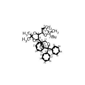 C=CC(O[Si](C)(C)C(C)(C)C)C1OC(C)(C)OC1C(=O)COC(c1ccccc1)(c1ccccc1)c1ccccc1